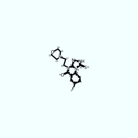 O=c1c2cc(F)ccc2n2c(=S)[nH]nc2n1CCN1CCOCC1